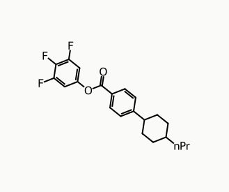 CCCC1CCC(c2ccc(C(=O)Oc3cc(F)c(F)c(F)c3)cc2)CC1